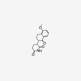 COc1cccc2c1CCC(C1CCC(=O)NC1=O)C2=O